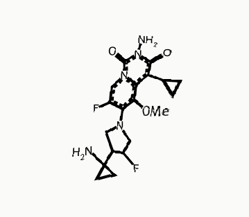 COc1c(N2CC(F)C(C3(N)CC3)C2)c(F)cn2c(=O)n(N)c(=O)c(C3CC3)c12